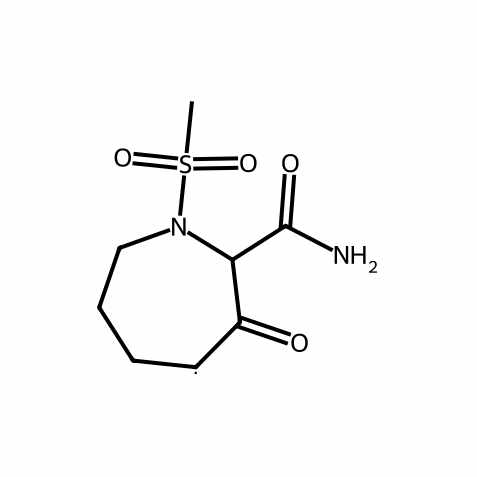 CS(=O)(=O)N1CCC[CH]C(=O)C1C(N)=O